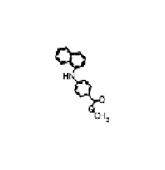 COC(=O)c1ccc(Nc2cccc3ccccc23)cc1